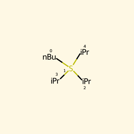 CCCCS(C(C)C)(C(C)C)C(C)C